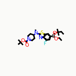 CCOB(OC(C)(C)CC)c1cc(F)c2nc(N(C)C3CCN(C(=O)OC(C)(C)C)CC3)sc2c1